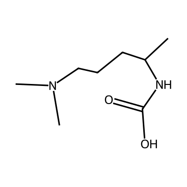 CC(CCCN(C)C)NC(=O)O